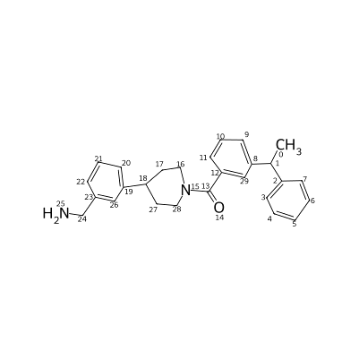 CC(c1ccccc1)c1cccc(C(=O)N2CCC(c3cccc(CN)c3)CC2)c1